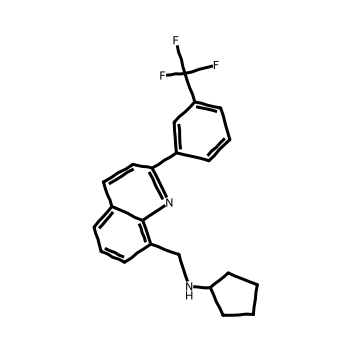 FC(F)(F)c1cccc(-c2ccc3cccc(CNC4CCCC4)c3n2)c1